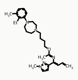 C=C/C=C(\N=C(/C)OCCCCN1CCCN(c2cccc(C)c2CC)CC1)c1ccn(C)n1